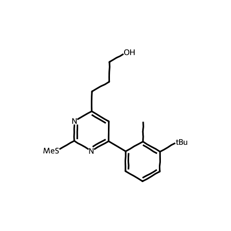 CSc1nc(CCCO)cc(-c2cccc(C(C)(C)C)c2C)n1